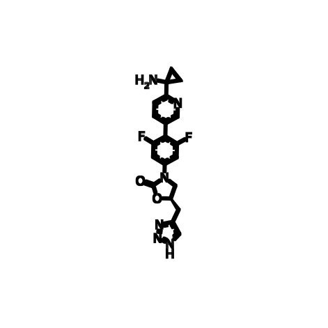 NC1(c2ccc(-c3c(F)cc(N4C[C@@H](Cc5c[nH]nn5)OC4=O)cc3F)cn2)CC1